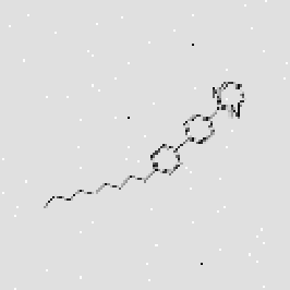 CCCCCCCCCc1ccc(-c2ccc(-c3ncccn3)cc2)cc1